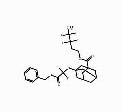 O=C(OCCC(F)(F)C(F)(F)S(=O)(=O)O)C12CC3CC(CC(OC(F)(F)C(=O)OCc4ccccc4)(C3)C1)C2